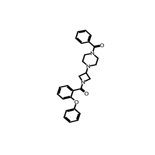 O=C(c1ccccc1)N1CCN(C2CN(C(=O)c3ccccc3Oc3ccccc3)C2)CC1